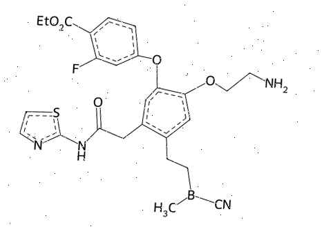 CCOC(=O)c1ccc(Oc2cc(CC(=O)Nc3nccs3)c(CCB(C)C#N)cc2OCCN)cc1F